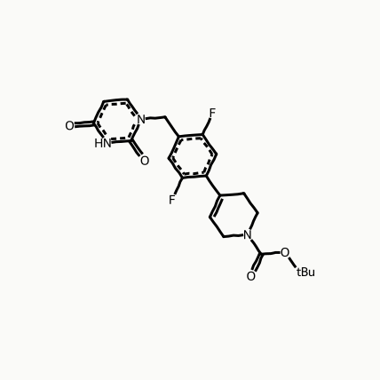 CC(C)(C)OC(=O)N1CC=C(c2cc(F)c(Cn3ccc(=O)[nH]c3=O)cc2F)CC1